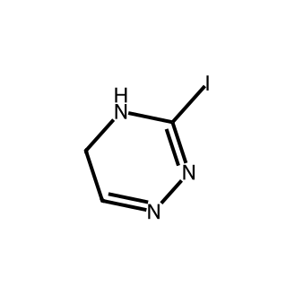 IC1=NN=CCN1